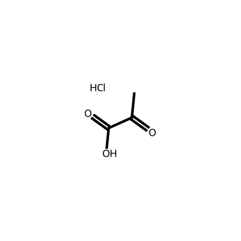 CC(=O)C(=O)O.Cl